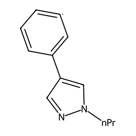 CCCn1cc(-c2c[c]ccc2)cn1